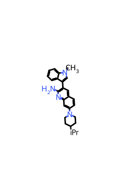 CC(C)C1CCN(c2ccc3cc(-c4cn(C)c5ccccc45)c(N)nc3c2)CC1